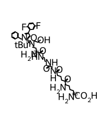 CC(C)(C)[C@H](c1cc(-c2cc(F)ccc2F)cn1Cc1ccccc1)N(CC[C@H](N)C(=O)NCCNC(=O)CNC(=O)CCCC(=O)C(N)CCC[C@H](N)C(=O)O)C(=O)CO